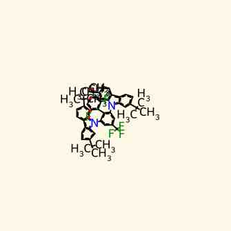 CC(C)(C)c1ccc2c3ccc(C(C)(C)C)cc3n(-c3cc(C(F)(F)F)cc(-n4c5cc(C(C)(C)C)ccc5c5ccc(C(C)(C)C)cc54)c3-c3c(F)cccc3F)c2c1